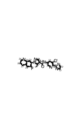 Cc1c(C(=O)Nc2cnc(-n3nccn3)c(Cl)c2)cnn1-c1cc2ncccc2cc1F